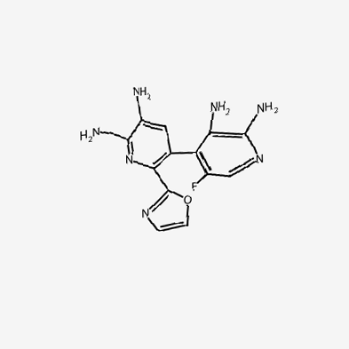 Nc1cc(-c2c(F)cnc(N)c2N)c(-c2ncco2)nc1N